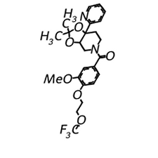 COc1cc(C(=O)N2CCC3(c4ccccn4)OC(C)(C)OC3C2)ccc1OCCOC(F)(F)F